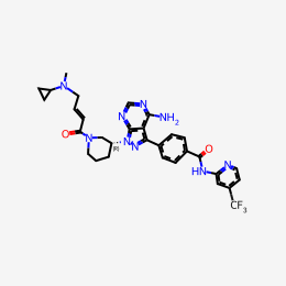 CN(CC=CC(=O)N1CCC[C@@H](n2nc(-c3ccc(C(=O)Nc4cc(C(F)(F)F)ccn4)cc3)c3c(N)ncnc32)C1)C1CC1